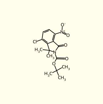 CC(C)(C)OC(=O)N1C(=O)c2c([N+](=O)[O-])ccc(Cl)c2C1(C)C